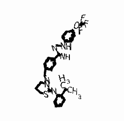 CC(C)c1ccccc1/N=C1\SCCCN1/N=C/c1ccc(C(=N)/N=C\Nc2ccc(OC(F)(F)F)cc2)cc1